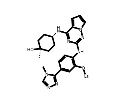 CCOc1cc(-c2nncn2C)ccc1Nc1nc(N[C@H]2CC[C@](C)(O)CC2)c2cccn2n1